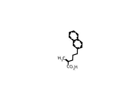 C=C(CCCc1ccc2ccccc2c1)C(=O)O